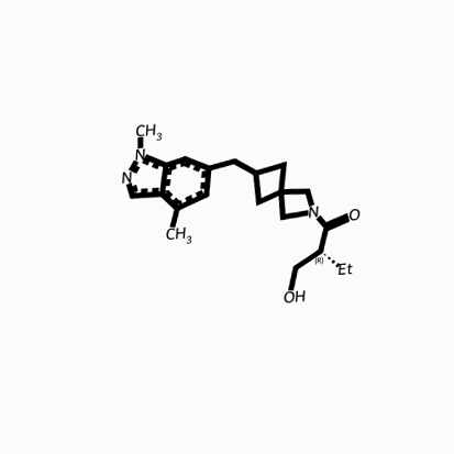 CC[C@H](CO)C(=O)N1CC2(CC(Cc3cc(C)c4cnn(C)c4c3)C2)C1